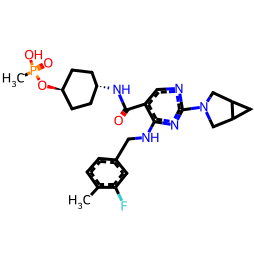 Cc1ccc(CNc2nc(N3CC4CC4C3)ncc2C(=O)N[C@H]2CC[C@H](OP(C)(=O)O)CC2)cc1F